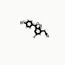 N#CCc1cc(F)cc2c(-c3ccc(Br)cc3)onc12